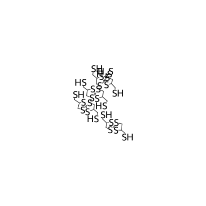 S.S.SCC1CSC2(SCC(CS)S2)S1.SCC1CSC2(SCC(CS)S2)S1.SCC1CSC2(SCC(CS)S2)S1.SCC1CSC2(SCC(CS)S2)S1